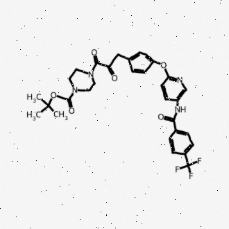 CC(C)(C)OC(=O)N1CCN(C(=O)C(=O)Cc2ccc(Oc3ccc(NC(=O)c4ccc(C(F)(F)F)cc4)cn3)cc2)CC1